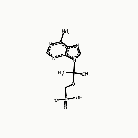 CC(C)(OCP(=O)(O)O)n1cnc2c(N)ncnc21